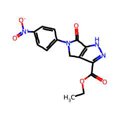 CCOC(=O)c1n[nH]c2c1CN(c1ccc([N+](=O)[O-])cc1)C2=O